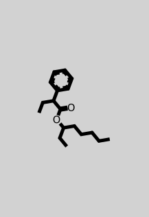 CCCCCC(CC)OC(=O)C(CC)c1ccccc1